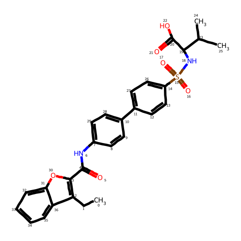 CCc1c(C(=O)Nc2ccc(-c3ccc(S(=O)(=O)NC(C(=O)O)C(C)C)cc3)cc2)oc2ccccc12